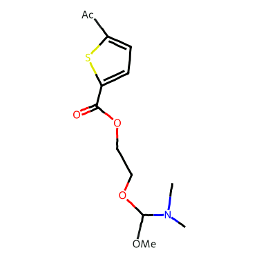 COC(OCCOC(=O)c1ccc(C(C)=O)s1)N(C)C